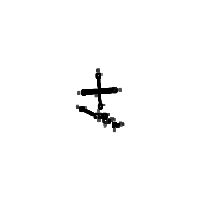 O=C([O-])[O-].O=S(=O)([O-])[O-].[Ca+2].[Fe+2]